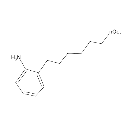 CCCCCCCCCCCCCCc1ccccc1N